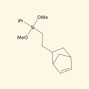 CO[Si](CCC1CC2C=CC1C2)(OC)C(C)C